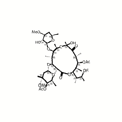 CO[C@H]1C[C@@H](C)O[C@@H](O[C@@H]2[C@@H](C)[C@H](O[C@H]3C[C@@](C)(OC)[C@H](OC(C)=O)[C@H](C)O3)[C@@H](C)C(=O)O[C@H]([C@@H](C)[C@H](C)O)[C@H](C)[C@H](OC(C)=O)[C@@H](C)C(=O)[C@@](C)(O)C[C@@H]2C)[C@@H]1O